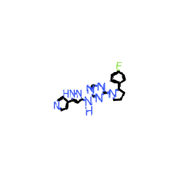 Fc1ccc(C2CCCN2c2ncnc(Nc3cc(-c4ccncc4)[nH]n3)n2)cc1